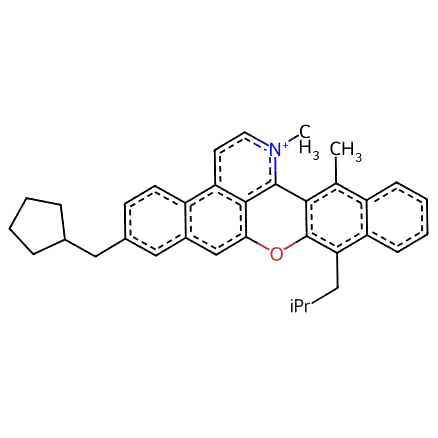 Cc1c2c(c(CC(C)C)c3ccccc13)Oc1cc3cc(CC4CCCC4)ccc3c3cc[n+](C)c-2c13